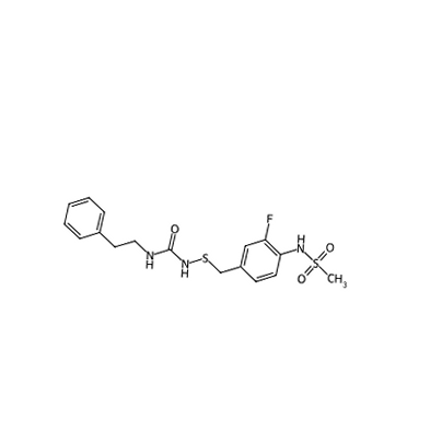 CS(=O)(=O)Nc1ccc(CSNC(=O)NCCc2ccccc2)cc1F